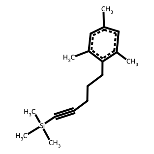 Cc1cc(C)c(CCCC#C[Si](C)(C)C)c(C)c1